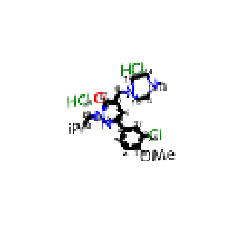 COc1ccc(-c2cc(CN3CCN(C)CC3)c(=O)n(CC(C)C)n2)cc1Cl.Cl.Cl